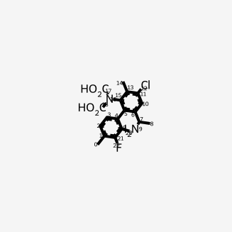 Cc1ccc(-c2c(C(C)N)cc(Cl)c(C)c2N(C(=O)O)C(=O)O)c(C)c1F